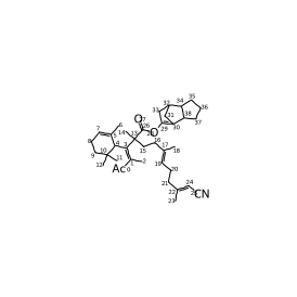 CC(=O)C(C)=C(C1C(C)=CCCC1(C)C)C(C)(CCC(C)=CCCC(C)=CC#N)C(=O)OC1=C2CC(C1)C1CCCC21